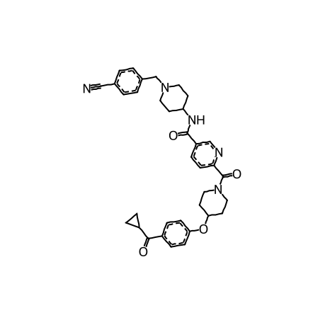 N#Cc1ccc(CN2CCC(NC(=O)c3ccc(C(=O)N4CCC(Oc5ccc(C(=O)C6CC6)cc5)CC4)nc3)CC2)cc1